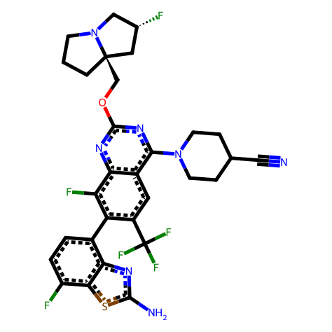 N#CC1CCN(c2nc(OC[C@@]34CCCN3C[C@H](F)C4)nc3c(F)c(-c4ccc(F)c5sc(N)nc45)c(C(F)(F)F)cc23)CC1